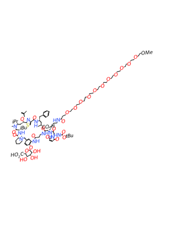 C=C(C)CO[C@H](C[C@H](C(C)C)N(C)C(=O)[C@@H](NC(=O)[C@H]1CCCC[N+]1(C)Cc1ccc(O[C@@H]2O[C@H](C(=O)O)[C@@H](O)[C@H](O)[C@H]2O)c(NC(=O)CCNC(=O)[C@H](CCCCNC(=O)CCOCCOCCOCCOCCOCCOCCOCCOCCOCCOCCOCCOC)NC(=O)[C@H](CNC(=O)OC(C)(C)C)N2C(=O)C=CC2=O)c1)[C@@H](C)CC)c1nc(C(=O)N[C@@H](Cc2ccccc2)C[C@H](C)C(=O)O)cs1